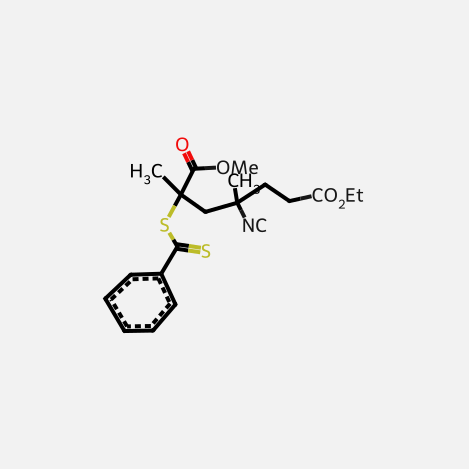 [C-]#[N+]C(C)(CCC(=O)OCC)CC(C)(SC(=S)c1ccccc1)C(=O)OC